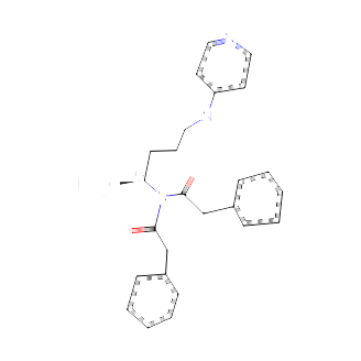 O=C(O)[C@@H](CCCNc1ccncc1)N(C(=O)Cc1ccccc1)C(=O)Cc1ccccc1